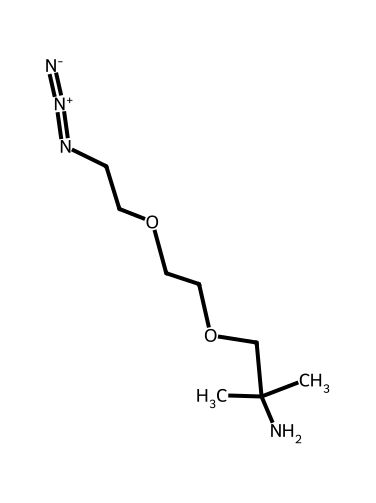 CC(C)(N)COCCOCCN=[N+]=[N-]